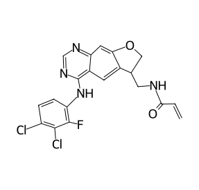 C=CC(=O)NCC1COc2cc3ncnc(Nc4ccc(Cl)c(Cl)c4F)c3cc21